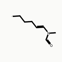 [CH2]CCCC=CN(C)C=O